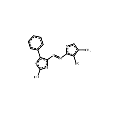 [C-]#[N+]c1c(C)nsc1/N=N/c1sc(O)nc1-c1ccccc1